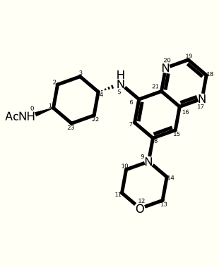 CC(=O)N[C@H]1CC[C@H](Nc2cc(N3CCOCC3)cc3nccnc23)CC1